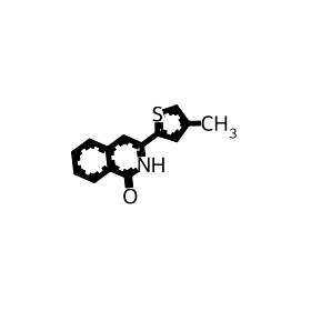 Cc1csc(-c2cc3ccccc3c(=O)[nH]2)c1